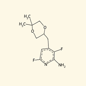 CC1(C)COC(Cc2cc(F)nc(N)c2F)CO1